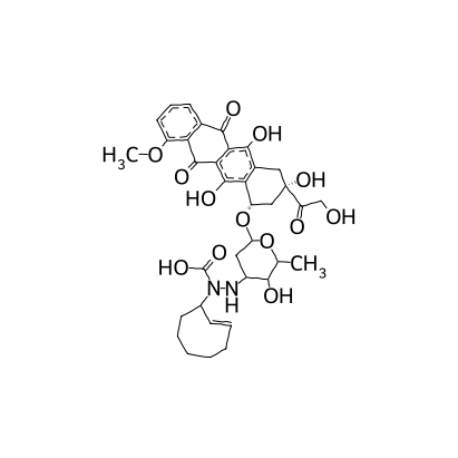 COc1cccc2c1C(=O)c1c(O)c3c(c(O)c1C2=O)C[C@@](O)(C(=O)CO)C[C@@H]3OC1CC(NN(C(=O)O)C2/C=C/CCCCC2)C(O)C(C)O1